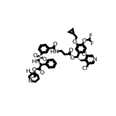 O=C(CCNC(=O)c1cccc(S(=O)(=O)NC(C(=O)O[C@H]2CN3CCC2CC3)c2ccccc2)c1)O[C@@H](Cc1c(Cl)cncc1Cl)c1ccc(OC(F)F)c(OCC2CC2)c1